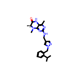 Cc1nc(NCc2cnn(Cc3ccccc3C(C)C)c2)nc2c1NC(=O)[C@H](C)N2C